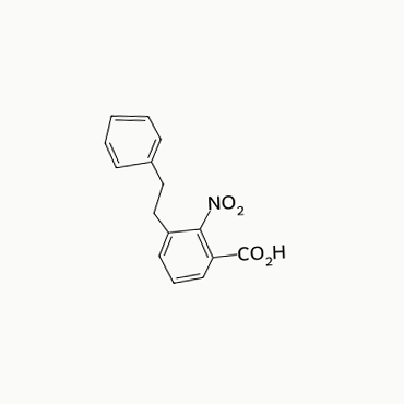 O=C(O)c1cccc(CCc2ccccc2)c1[N+](=O)[O-]